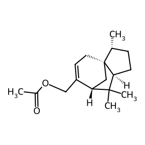 CC(=O)OCC1=CC[C@@]23C[C@@H]1C(C)(C)[C@@H]2CC[C@H]3C